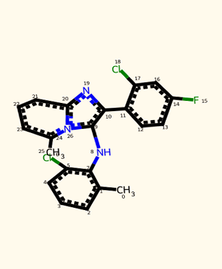 Cc1cccc(Cl)c1Nc1c(-c2ccc(F)cc2Cl)nc2cccc(C)n12